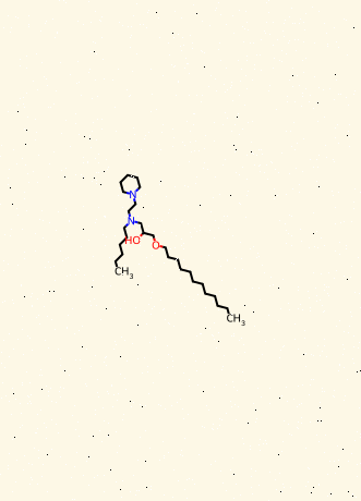 CCCCCCCCCCCCOCC(O)CN(CCCCCC)CCN1CCCCC1